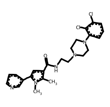 Cc1c(C(=O)NCCN2CCN(c3cccc(Cl)c3Cl)CC2)cc(-c2cccnc2)n1C